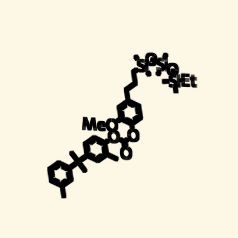 CC[Si](C)(C)O[Si](C)(C)O[Si](C)(C)CCCc1ccc(OC(=O)Oc2ccc(C(C)(C)c3cccc(C)c3)cc2C)c(OC)c1